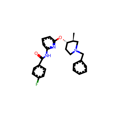 C[C@H]1CN(Cc2ccccc2)CC[C@@H]1Oc1cccc(NC(=O)c2ccc(F)cc2)n1